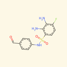 Nc1c(F)ccc(S(=O)(=O)Nc2ccc(C=O)cc2)c1N